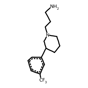 NCCCN1CCCC(c2cccc(C(F)(F)F)c2)C1